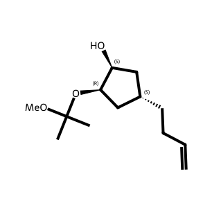 C=CCC[C@H]1C[C@H](O)[C@H](OC(C)(C)OC)C1